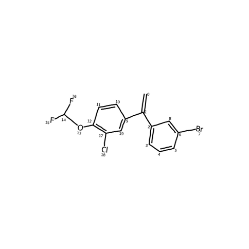 C=C(c1cccc(Br)c1)c1ccc(OC(F)F)c(Cl)c1